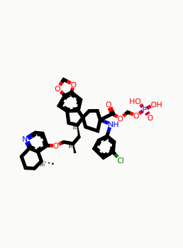 C[C@@H](COc1ccnc2c1[C@H](C)CCC2)C[C@H]1Cc2cc3c(cc2C12CCC(Nc1cccc(Cl)c1)(C(=O)OCOP(=O)(O)O)CC2)OCO3